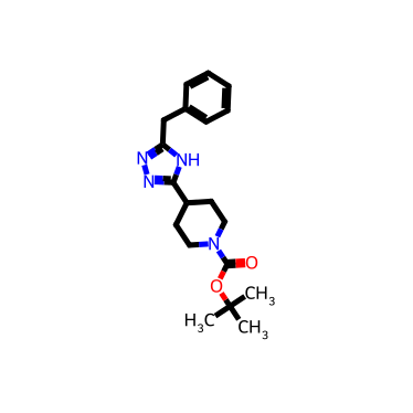 CC(C)(C)OC(=O)N1CCC(c2nnc(Cc3ccccc3)[nH]2)CC1